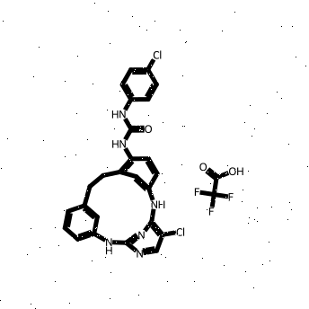 O=C(Nc1ccc(Cl)cc1)Nc1ccc2cc1CCc1cccc(c1)Nc1ncc(Cl)c(n1)N2.O=C(O)C(F)(F)F